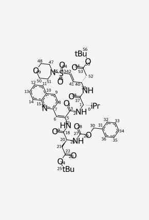 CC(C)[C@H](NC(=O)/C(=C\c1ccc2ccccc2n1)NC(=O)[C@H](CC(=O)OC(C)(C)C)NC(=O)OCc1ccccc1)C(=O)N[C@H](/C=C/S(=O)(=O)N1CCOCC1)CC(=O)OC(C)(C)C